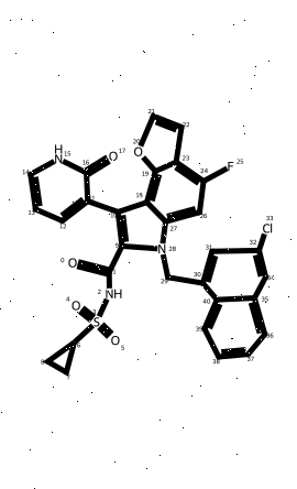 O=C(NS(=O)(=O)C1CC1)c1c(-c2ccc[nH]c2=O)c2c3occc3c(F)cc2n1Cc1cc(Cl)cc2ccccc12